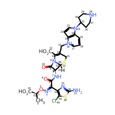 C[C@H](O/N=C(\C(=O)N[C@@H]1C(=O)N2C(C(=O)O)=C(C[n+]3cccc4c3ccn4C3CCNCC3)CS[C@H]12)c1nc(N)sc1Cl)C(=O)O